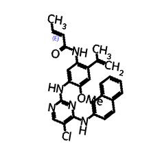 C=C(C)c1cc(OC)c(Nc2ncc(Cl)c(Nc3ccc4ccccc4c3)n2)cc1NC(=O)/C=C/C